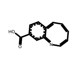 O=C(O)c1ccc2c(c1)=NC=CC=CC=2